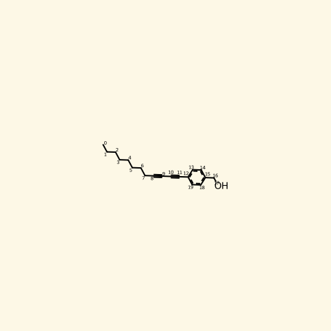 CCCCCCCCC#CC#Cc1ccc(CO)cc1